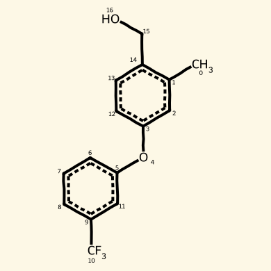 Cc1cc(Oc2cccc(C(F)(F)F)c2)ccc1CO